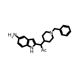 CC(=O)C(c1cc2cc(N)ccc2[nH]1)C1CCN(Cc2ccccc2)CC1